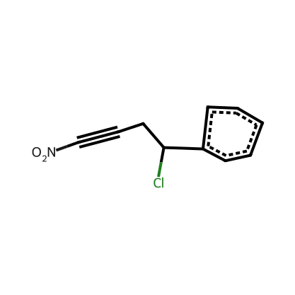 O=[N+]([O-])C#CCC(Cl)c1ccccc1